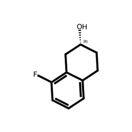 O[C@@H]1CCc2cccc(F)c2C1